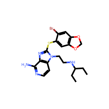 CCC(CC)NCCn1c(Sc2cc3c(cc2Br)OCO3)nc2c(N)nccc21